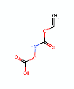 C=COC(=O)NOC(=O)O